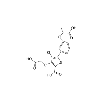 CC(Oc1cccc(-c2sc(C(=O)O)c(OCC(=O)O)c2Cl)c1)C(=O)O